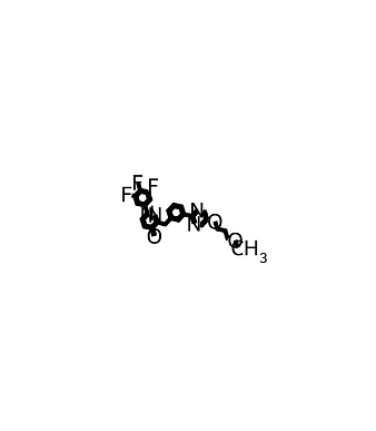 COCCCOc1cnc(-c2cccc(Cc3nn(-c4cc(F)c(F)c(F)c4)ccc3=O)c2)nc1